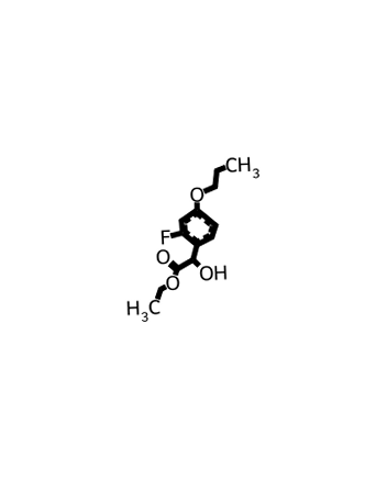 CCCOc1ccc(C(O)C(=O)OCC)c(F)c1